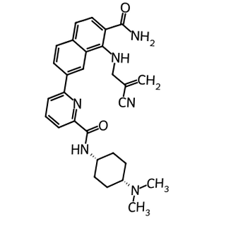 C=C(C#N)CNc1c(C(N)=O)ccc2ccc(-c3cccc(C(=O)N[C@H]4CC[C@@H](N(C)C)CC4)n3)cc12